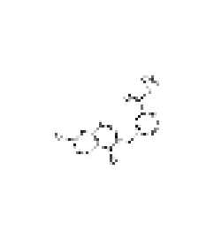 COC(=O)c1cccc(Cn2cnc3cc(Br)ccc3c2=O)c1